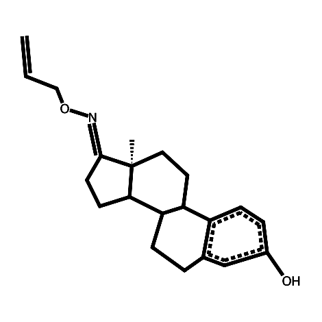 C=CCO/N=C1\CCC2C3CCc4cc(O)ccc4C3CC[C@]12C